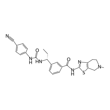 CC[C@@H](NC(=O)Nc1ccc(C#N)cc1)c1cccc(C(=O)Nc2nc3c(s2)CN(C)CC3)c1